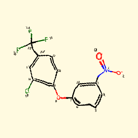 O=[N+]([O-])c1[c]ccc(Oc2ccc(C(F)(F)F)cc2Cl)c1